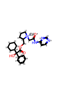 C[N@+]1(CC(=O)Nc2ccncn2)CCCC1COC(=O)C(O)(c1ccccc1)C1CCCCC1